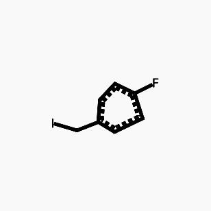 Fc1ccc(CI)cc1